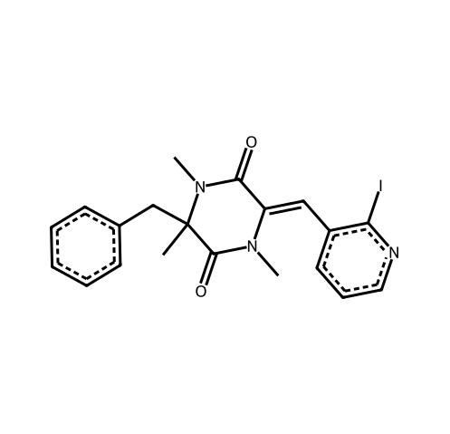 CN1C(=O)C(C)(Cc2ccccc2)N(C)C(=O)C1=Cc1cccnc1I